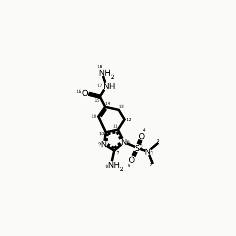 CN(C)S(=O)(=O)n1c(N)nc2c1CCC(C(=O)NN)=C2